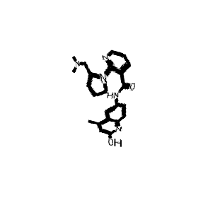 Cc1cc(O)nc2ccc(NC(=O)c3cccnc3N3CCCC3CN(C)C)cc12